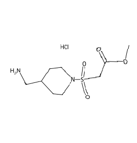 COC(=O)CS(=O)(=O)N1CCC(CN)CC1.Cl